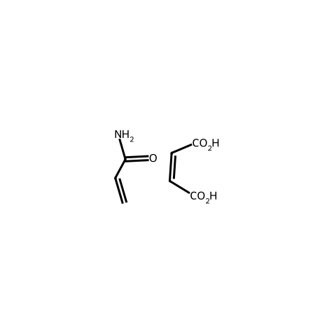 C=CC(N)=O.O=C(O)/C=C\C(=O)O